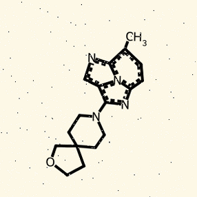 Cc1ccc2nc(N3CCC4(CCOC4)CC3)c3cnc1n23